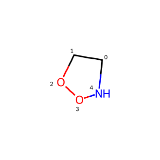 C1COON1